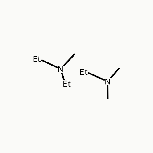 CCN(C)C.CCN(C)CC